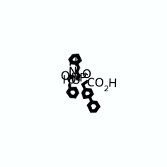 O=C(NC(Cc1ccccc1)C(O)[PH](=O)C(Cc1ccc(-c2ccccc2)cc1)C(=O)O)OCc1ccccc1